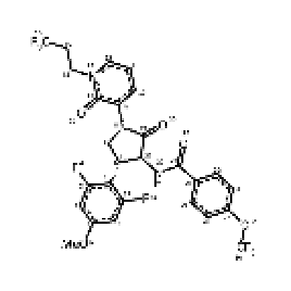 COc1cc(F)c([C@@H]2CN(c3cccn(CCC(F)(F)F)c3=O)C(=O)C2NC(=O)c2ccc(OC(F)(F)F)cc2)c(F)c1